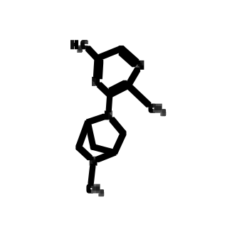 Cc1cnc(C)c(N2CC3CC2CN3C)n1